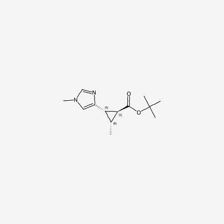 C[C@H]1[C@H](C(=O)OC(C)(C)C)[C@H]1c1cn(C)cn1